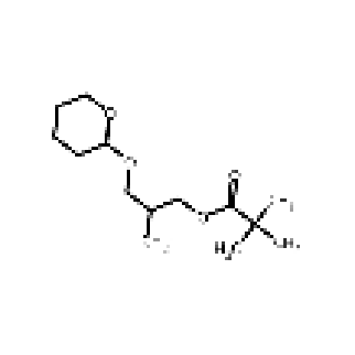 [CH2]C(COC(=O)C(C)(C)C)COC1CCCCO1